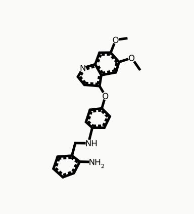 COc1cc2nccc(Oc3ccc(NCc4ccccc4N)cc3)c2cc1OC